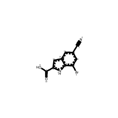 N#Cc1cc(Br)c2[nH]c(C(=O)O)cc2c1